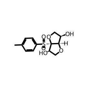 Cc1ccc(S(=O)(=O)[C@]23OC[C@@H](O)[C@H]2OC[C@@H]3O)cc1